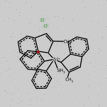 CC1=Cc2ccccc2[CH]1[Zr+2]([SiH3])([c]1ccccc1)([c]1ccccc1)[CH]1C(C)=Cc2ccccc21.[Cl-].[Cl-]